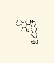 Cc1c2c(c(C)c3ccccc13)-c1c3c(c4ccc(CC(C)(C)C)cc4cc3cc[n+]1C)O2